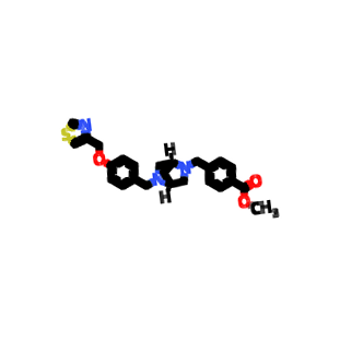 COC(=O)c1ccc(CN2C[C@@H]3C[C@H]2CN3Cc2ccc(OCc3cscn3)cc2)cc1